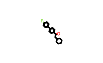 O=C(CC1CCCCC1)c1ccc(-c2ccc(F)cc2)cc1